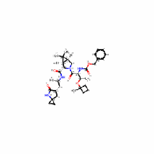 C[C@@H](OC1(C)CCC1)[C@H](NC(=O)OCc1ccccc1)C(=O)N1C[C@H]2[C@@H]([C@H]1C(=O)N[C@H](C#N)C[C@@H]1CC3(CC3)NC1=O)C2(C)C